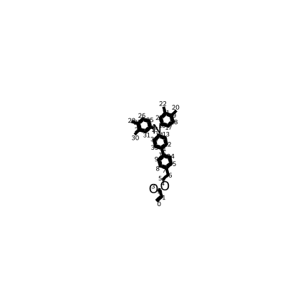 C=CC(=O)OCCc1ccc(-c2ccc(N(c3ccc(C)c(C)c3)c3ccc(C)c(C)c3)cc2)cc1